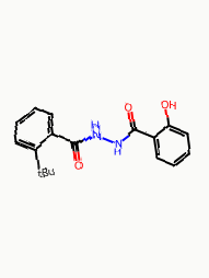 CC(C)(C)c1ccccc1C(=O)NNC(=O)c1ccccc1O